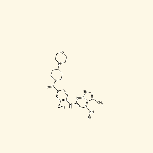 CCNc1cc(Nc2ccc(C(=O)N3CCC(N4CCOCC4)CC3)cc2OC)nc2[nH]cc(C)c12